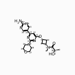 C[C@@H](O)C(=O)N(C)[C@H]1C[C@H](Oc2cc(-c3cnc(N)nc3)nc(N3CCOCC3)n2)C1